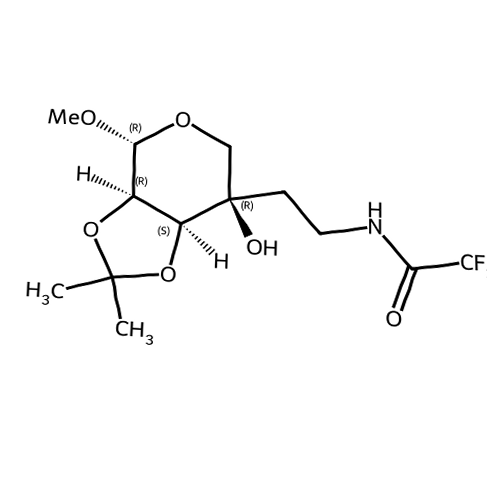 CO[C@@H]1OC[C@](O)(CCNC(=O)C(F)(F)F)[C@H]2OC(C)(C)O[C@@H]12